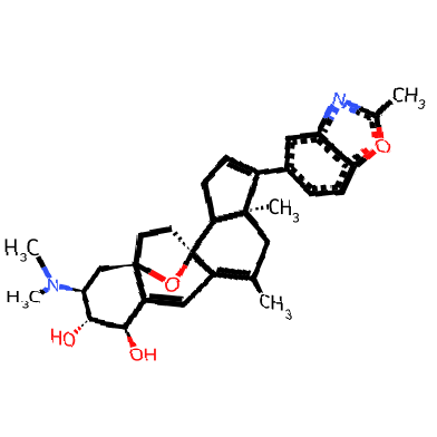 CC1=C2C=C3[C@@H](O)[C@H](O)[C@@H](N(C)C)C[C@]34CC[C@]2(O4)C2CC=C(c3ccc4oc(C)nc4c3)[C@@]2(C)C1